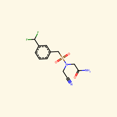 N#CCN(CC(N)=O)S(=O)(=O)Cc1cccc(C(F)F)c1